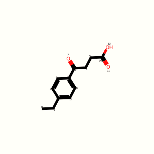 CCc1ccc(C(=O)CCC(=O)O)cc1